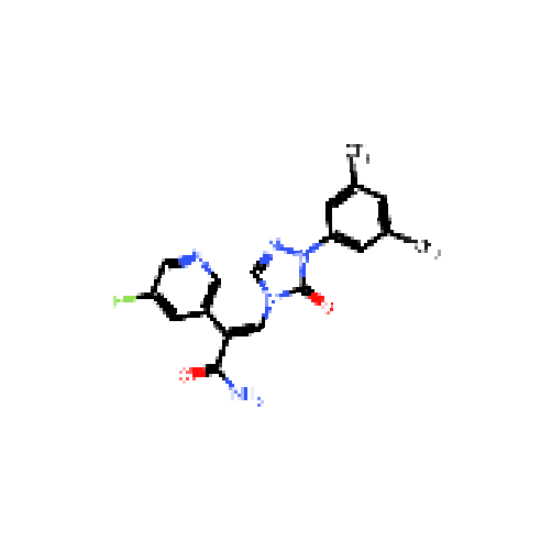 NC(=O)/C(=C/n1cnn(-c2cc(C(F)(F)F)cc(C(F)(F)F)c2)c1=O)c1cncc(F)c1